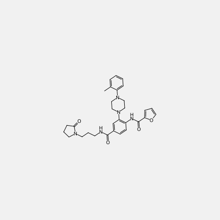 Cc1ccccc1N1CCN(c2cc(C(=O)NCCCN3CCCC3=O)ccc2NC(=O)c2ccco2)CC1